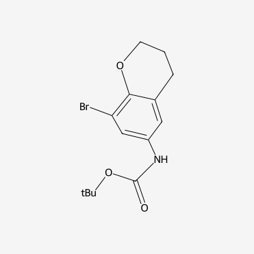 CC(C)(C)OC(=O)Nc1cc(Br)c2c(c1)CCCO2